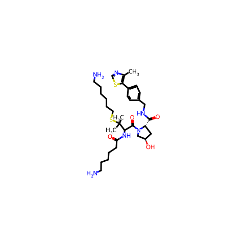 Cc1ncsc1-c1ccc(CNC(=O)[C@@H]2C[C@@H](O)CN2C(=O)C(NC(=O)CCCCCN)C(C)(C)SCCCCCCN)cc1